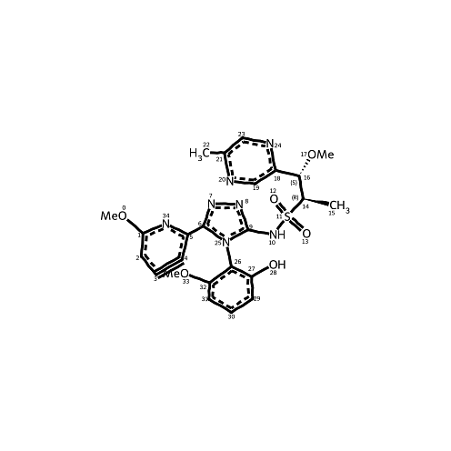 COc1cc#cc(-c2nnc(NS(=O)(=O)[C@H](C)[C@@H](OC)c3cnc(C)cn3)n2-c2c(O)cccc2OC)n1